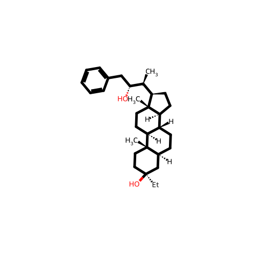 CC[C@]1(O)CC[C@@]2(C)[C@@H](CC[C@@H]3[C@@H]2CC[C@]2(C)[C@@H]([C@H](C)[C@H](O)Cc4ccccc4)CC[C@@H]32)C1